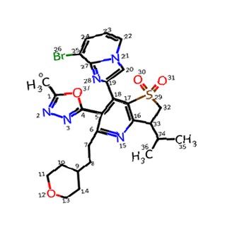 Cc1nnc(-c2c(CCC3CCOCC3)nc3c(c2-c2cn4cccc(Br)c4n2)S(=O)(=O)CC3C(C)C)o1